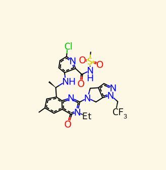 CCn1c(N2Cc3cnn(CC(F)(F)F)c3C2)nc2c([C@@H](C)Nc3ccc(Cl)nc3C(=O)NS(C)(=O)=O)cc(C)cc2c1=O